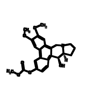 COC(=O)Oc1ccc2c3c(c4cc(OC)c(OC)cc4c2c1)CN1CCC[C@H]1[C@H]3O